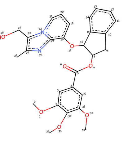 COc1cc(C(=O)OC2Cc3ccccc3C2Oc2cccn3c(CO)c(C)nc23)cc(OC)c1OC